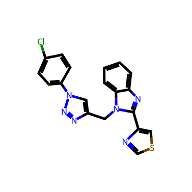 Clc1ccc(-n2cc(Cn3c(-c4cscn4)nc4ccccc43)nn2)cc1